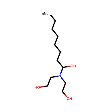 CCCCCCCCCCCCCCCC(O)N(CCO)CCO